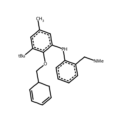 CNCc1ccccc1Pc1cc(C)cc(C(C)(C)C)c1OCC1C=CC=CC1